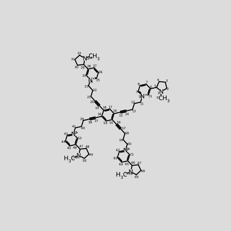 CN1CCCC1c1ccc[n+](CCCC#Cc2cc(C#CCCC[n+]3cccc(C4CCCN4C)c3)c(C#CCCC[n+]3cccc(C4CCCN4C)c3)cc2C#CCCC[n+]2cccc(C3CCCN3C)c2)c1